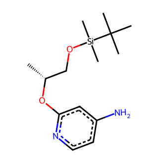 C[C@H](CO[Si](C)(C)C(C)(C)C)Oc1cc(N)ccn1